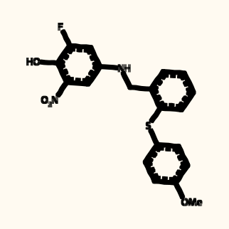 COc1ccc(Sc2ccccc2CNc2cc(F)c(O)c([N+](=O)[O-])c2)cc1